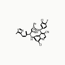 C=C(/C=C\c1ncsc1C)[C@H](Nc1cc(Cl)c2ncc(C#N)c(Nc3ccc(F)c(Cl)c3)c2c1)C1=CN(C(C)C)NN1